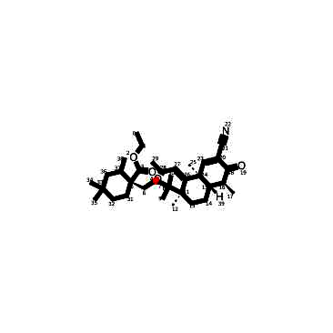 CCOC(=O)[C@]1(CCC(C)(C)[C@]2(C)CC[C@H]3[C@H](C)C(=O)C(C#N)=C[C@]3(C)/C2=C/C(C)=O)CCC(C)(C)CC1C